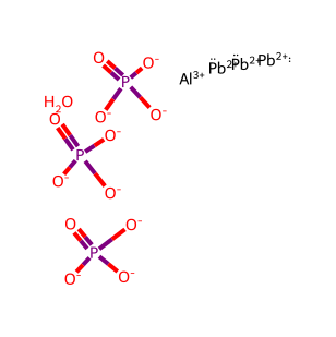 O.O=P([O-])([O-])[O-].O=P([O-])([O-])[O-].O=P([O-])([O-])[O-].[Al+3].[Pb+2].[Pb+2].[Pb+2]